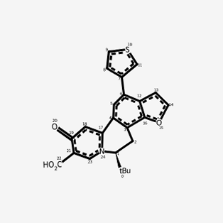 CC(C)(C)[C@@H]1Cc2c(cc(-c3ccsc3)c3ccoc23)-c2cc(=O)c(C(=O)O)cn21